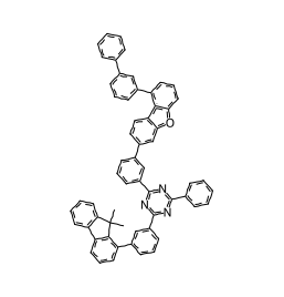 CC1(C)c2ccccc2-c2cccc(-c3cccc(-c4nc(-c5ccccc5)nc(-c5cccc(-c6ccc7c(c6)oc6cccc(-c8cccc(-c9ccccc9)c8)c67)c5)n4)c3)c21